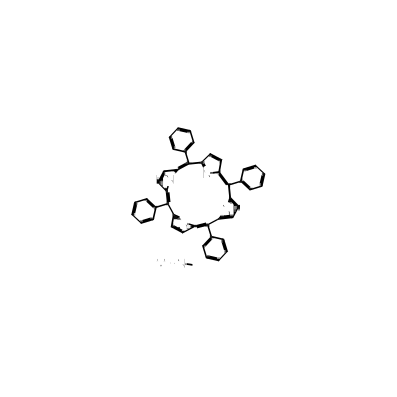 C1=Cc2nc1c(-c1ccccc1)c1ccc([nH]1)c(-c1ccccc1)c1nc(c(-c3ccccc3)c3ccc([nH]3)c2-c2ccccc2)C=C1.CNC